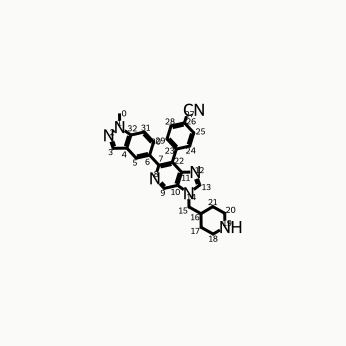 Cn1ncc2cc(-c3ncc4c(ncn4CC4CCNCC4)c3-c3ccc(C#N)cc3)ccc21